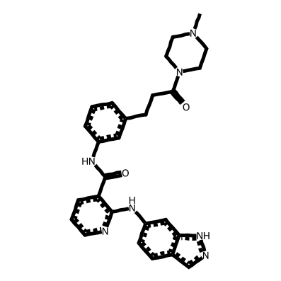 CN1CCN(C(=O)CCc2cccc(NC(=O)c3cccnc3Nc3ccc4cn[nH]c4c3)c2)CC1